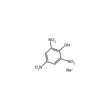 O=[N+]([O-])c1cc([N+](=O)[O-])c(O)c([N+](=O)[O-])c1.[Na+]